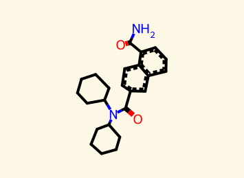 NC(=O)c1cccc2cc(C(=O)N(C3CCCCC3)C3CCCCC3)ccc12